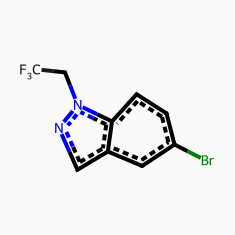 FC(F)(F)Cn1ncc2cc(Br)ccc21